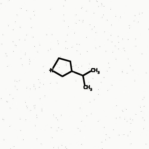 CC(C)C1CC[N]C1